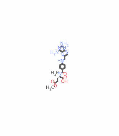 COC(=O)CC[C@@H](C(=O)O)N(C)C(=O)c1ccc(NCc2cnc3nc(N)nc(N)c3n2)cc1